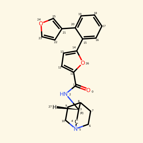 O=C(N[C@H]1CN2CCC1CC2)c1ccc(-c2ccccc2-c2ccoc2)o1